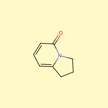 O=c1cccc2n1[CH]CC2